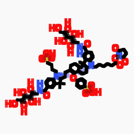 CC1(C)C(/C=C/C2=C(Oc3ccc(S(=O)(=O)O)cc3)C(=C/C=C3/N(CCCCCC(=O)ON4C(=O)CCC4=O)c4ccc(C(=O)NC[C@H](O)[C@@H](O)[C@H](O)[C@H](O)CO)cc4C3(C)C)/CCC2)=[N+](CCCCS(=O)(=O)O)c2ccc(C(=O)NC[C@H](O)[C@@H](O)[C@H](O)[C@H](O)CO)cc21